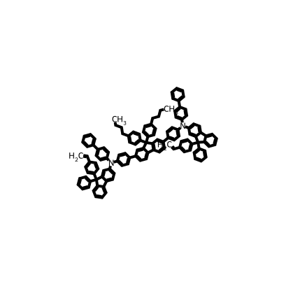 C=Cc1ccc(C2(c3ccccc3)c3ccccc3-c3ccc(N(c4ccc(-c5ccccc5)cc4)c4ccc(-c5ccc6c(c5)C(c5ccc(CCCC)cc5)(c5ccc(CCCC)cc5)c5cc(-c7ccc(N(c8ccc(-c9ccccc9)cc8)c8ccc9c(c8)C(c8ccccc8)(c8ccc(C=C)cc8)c8ccccc8-9)cc7)ccc5-6)cc4)cc32)cc1